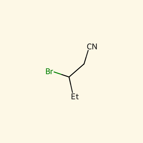 CCC(Br)CC#N